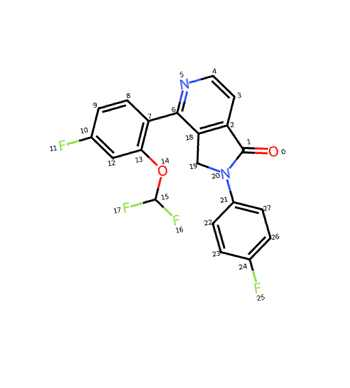 O=C1c2ccnc(-c3ccc(F)cc3OC(F)F)c2CN1c1ccc(F)cc1